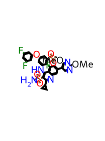 COc1ncc(-c2cc(F)c3c(Nc4cc(Oc5cc(F)cc(F)c5)cc(S(C)(=O)=O)c4)c(S(N)(=O)=O)c(C4CC4)nc3c2)c(OC)n1